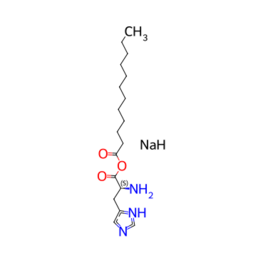 CCCCCCCCCCCC(=O)OC(=O)[C@@H](N)Cc1cnc[nH]1.[NaH]